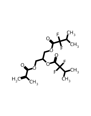 C=C(C)C(=O)OCC(COC(=O)C(F)(F)C(C)C)OC(=O)C(F)(F)C(C)C